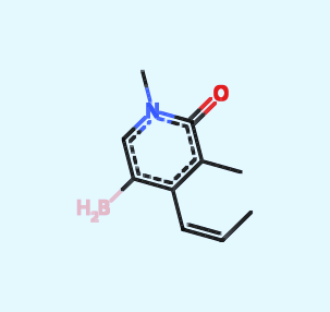 Bc1cn(C)c(=O)c(C)c1/C=C\C